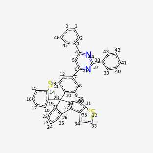 c1ccc(-c2cc(-c3ccc4c(c3)Sc3ccccc3C43c4ccccc4-c4c3ccc3sccc43)nc(-c3ccccc3)n2)cc1